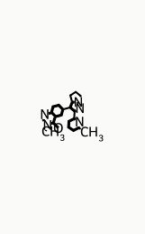 Cc1cccc(-c2nn3c(c2-c2ccc4ncn(C)c(=O)c4c2)CCC3)n1